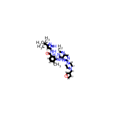 C=C/N=C1/C=NC(N2CCN(CC3CCOC3)CC2)=N/C1=C(/N)Nc1cc(C(=O)Nc2cc(C(C)(C)C)n[nH]2)ccc1C